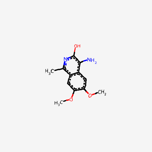 COc1cc2c(C)nc(O)c(N)c2cc1OC